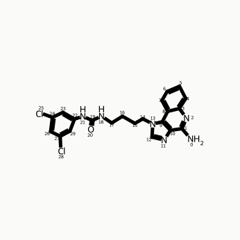 Nc1nc2ccccc2c2c1ncn2CCCCNC(=O)Nc1cc(Cl)cc(Cl)c1